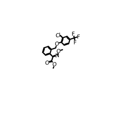 CO/N=C(/C(=O)OC)c1ccccc1COc1ccc(C(F)(F)F)cc1Cl